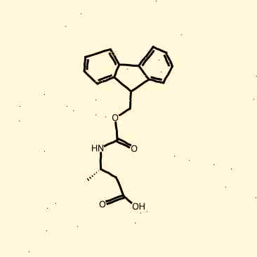 C[C@@H](CC(=O)O)NC(=O)OCC1c2ccccc2-c2ccccc21